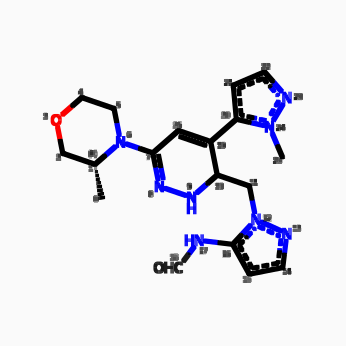 C[C@@H]1COCCN1C1=NNC(Cn2nccc2NC=O)C(c2ccnn2C)=C1